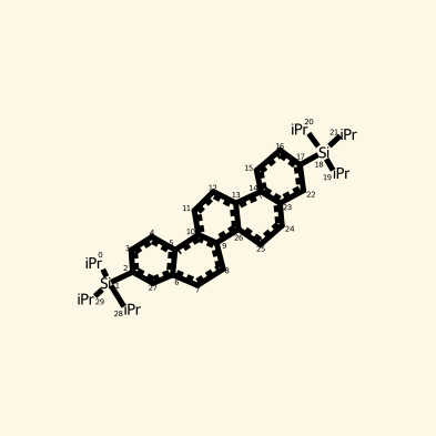 CC(C)[Si](c1ccc2c(ccc3c2ccc2c4ccc([Si](C(C)C)(C(C)C)C(C)C)cc4ccc23)c1)(C(C)C)C(C)C